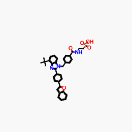 CC(C)(C)c1cccc2c1nc(-c1ccc(-c3cc4ccccc4o3)cc1)n2Cc1ccc(C(=O)NCCS(=O)(=O)O)cc1